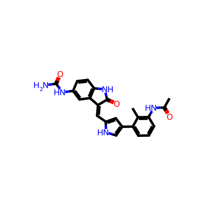 CC(=O)Nc1cccc(-c2c[nH]c(C=C3C(=O)Nc4ccc(NC(N)=O)cc43)c2)c1C